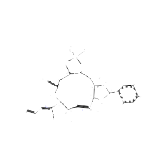 C=C/C=C(\C)[C@H]1OC(=O)CC(O[Si](C)(C)C(C)(C)C)CC[C@@]2(C)OC(c3ccccc3)O[C@H]2/C=C/[C@@H]1C